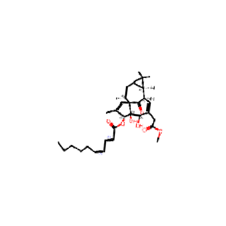 CCCCC/C=C\C=C\C(=O)O[C@H]1C(C)=CC23C(=O)[C@H](C=C(CC(=O)OC)[C@@H](O)[C@]12O)[C@H]1C(C[C@H]3C)C1(C)C